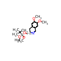 COc1cc2c(cc1OC)C[C@@H](CO[Si](OC)(OC)C(C)(C)C)N=C2